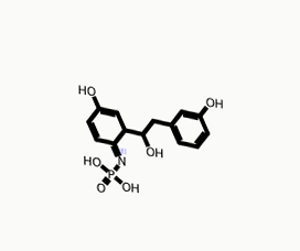 O=P(O)(O)/N=C1\C=CC(O)=CC1C(O)Cc1cccc(O)c1